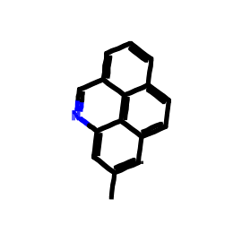 Cc1[c]c2ccc3cccc4cnc(c1)c2c34